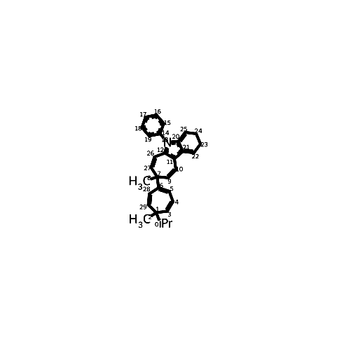 CC(C)C1(C)C=CC=C(C2(C)C=Cc3c(n(-c4ccccc4)c4c3=CCCC=4)C=C2)C=C1